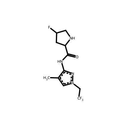 Cc1cn(CC(F)(F)F)nc1NC(=O)C1CC(F)CN1